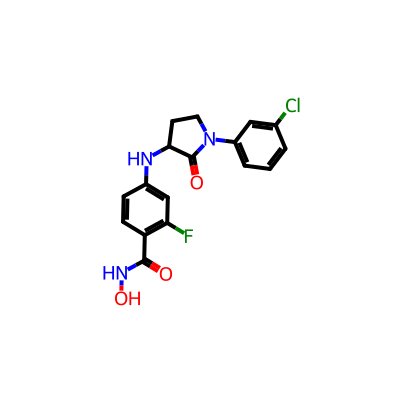 O=C(NO)c1ccc(NC2CCN(c3cccc(Cl)c3)C2=O)cc1F